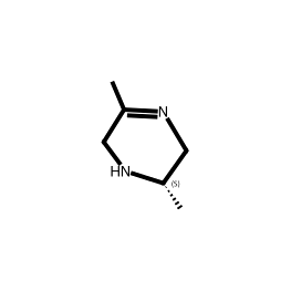 CC1=NC[C@H](C)NC1